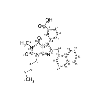 CCCCCn1c(=O)n(C)c(=O)c2c(-c3cccc(C(=O)O)c3)n(Cc3cccc4ccccc34)nc21